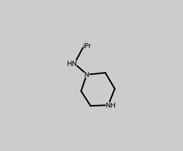 CC(C)NN1CCNCC1